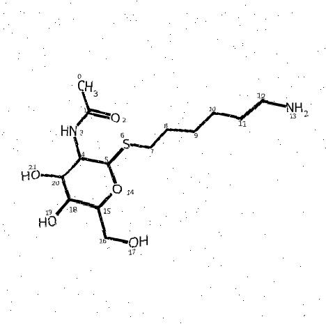 CC(=O)NC1C(SCCCCCCN)OC(CO)C(O)C1O